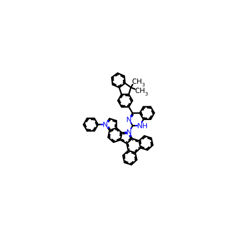 CC1(C)c2ccccc2-c2ccc(C3=NC(n4c5c(ccc6c5ccn6-c5ccccc5)c5c6ccccc6c6ccccc6c54)Nc4ccccc43)cc21